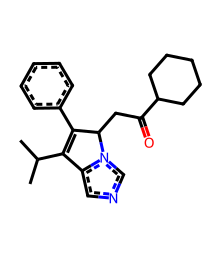 CC(C)C1=C(c2ccccc2)C(CC(=O)C2CCCCC2)n2cncc21